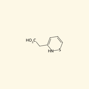 O=C(O)CC1=CC=CSN1